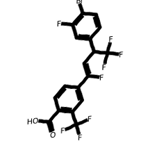 O=C(O)c1ccc(/C(F)=C/C(c2ccc(Br)c(F)c2)C(F)(F)F)cc1C(F)(F)F